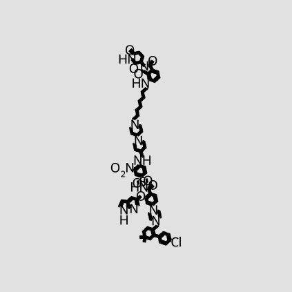 CC1(C)CCC(CN2CCN(c3ccc(C(=O)NS(=O)(=O)c4ccc(NCC5CCN(C6CCN(CCCCCCCCNc7cccc8c7C(=O)N(C7CCC(=O)NC7=O)C8=O)CC6)CC5)c([N+](=O)[O-])c4)c(Oc4cnc5[nH]ccc5c4)c3)CC2)=C(c2ccc(Cl)cc2)C1